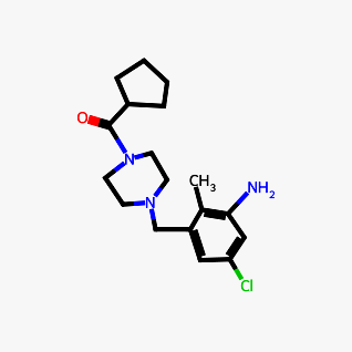 Cc1c(N)cc(Cl)cc1CN1CCN(C(=O)C2CCCC2)CC1